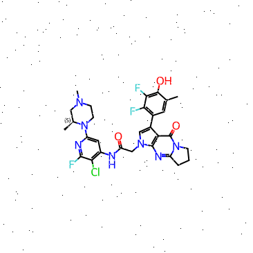 Cc1cc(-c2cn(CC(=O)Nc3cc(N4CCN(C)C[C@@H]4C)nc(F)c3Cl)c3nc4n(c(=O)c23)CCC4)c(F)c(F)c1O